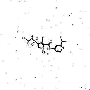 CC[C@@H](NS(=O)(=O)c1cn(C)c(C(=O)Nc2ccnc(C(F)F)c2)c1F)C(F)(F)F